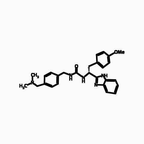 COc1ccc(C[C@@H](NC(=O)NCc2ccc(CN(C)C)cc2)c2nc3ccccc3[nH]2)cc1